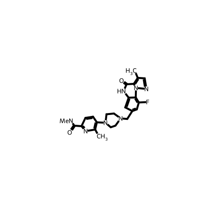 CNC(=O)c1ccc(N2CCN(Cc3cc(F)c4c(c3)[nH]c(=O)c3c(C)cnn34)CC2)c(C)n1